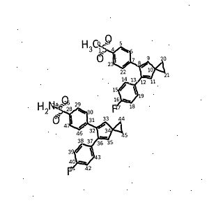 CS(=O)(=O)c1ccc(C2=CC3(C=C2c2ccc(F)cc2)CC3)cc1.NS(=O)(=O)c1ccc(C2=CC3(C=C2c2ccc(F)cc2)CC3)cc1